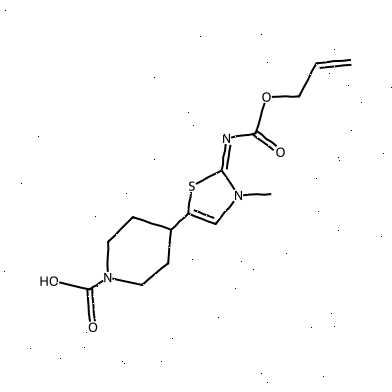 C=CCOC(=O)N=c1sc(C2CCN(C(=O)O)CC2)cn1C